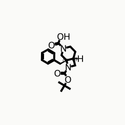 CC(C)(C)OC(=O)N1C[C@H]2CCN(C(=O)O)C[C@]21Cc1ccccc1